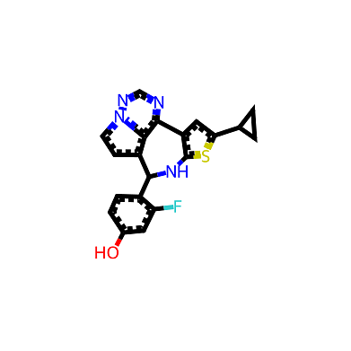 Oc1ccc(C2Nc3sc(C4CC4)cc3-c3ncnn4ccc2c34)c(F)c1